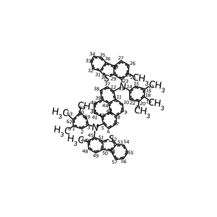 Cc1cc(N(c2ccc3ccc4c(N(c5cc(C)c(C)c(C)c5)c5c(C)ccc6c5sc5ccccc56)ccc5ccc2c3c54)c2c(C)ccc3c2sc2ccccc23)cc(C)c1C